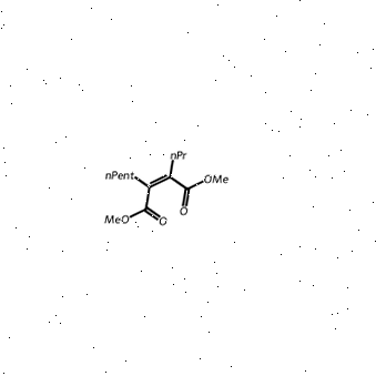 CCCCC/C(C(=O)OC)=C(\CCC)C(=O)OC